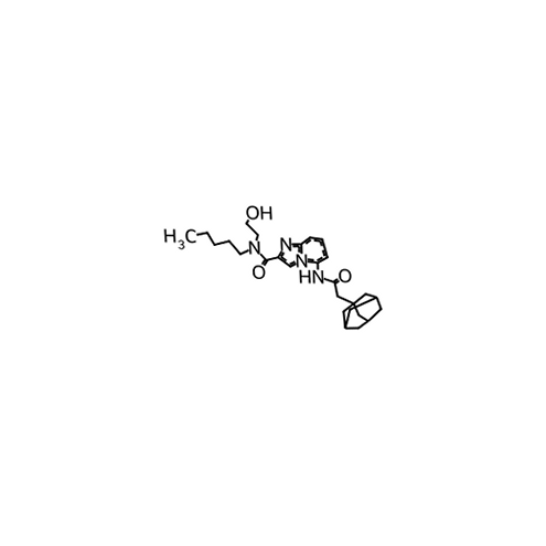 CCCCCN(CCO)C(=O)c1cn2c(NC(=O)CC34CC5CC(CC(C5)C3)C4)cccc2n1